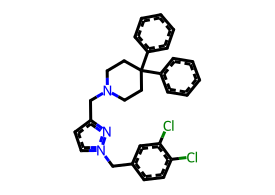 Clc1ccc(Cn2ccc(CN3CCC(c4ccccc4)(c4ccccc4)CC3)n2)cc1Cl